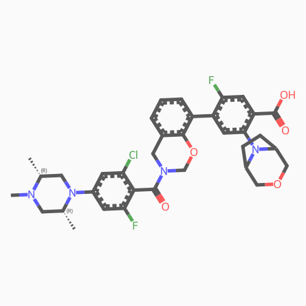 C[C@@H]1CN(c2cc(F)c(C(=O)N3COc4c(cccc4-c4cc(N5C6CCC5COC6)c(C(=O)O)cc4F)C3)c(Cl)c2)[C@H](C)CN1C